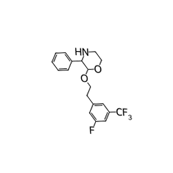 Fc1cc(CCOC2OCCNC2c2ccccc2)cc(C(F)(F)F)c1